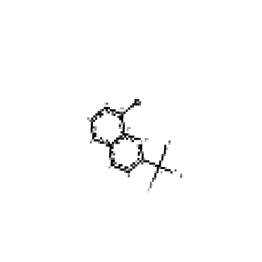 FC(F)(F)c1ccc2cccc(Br)c2n1